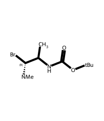 CN[C@H](Br)C(C)NC(=O)OC(C)(C)C